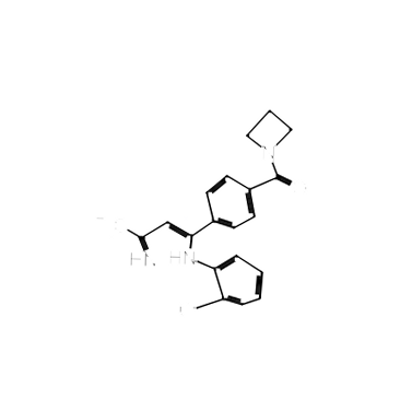 N=C(/C=C(\Nc1ccccc1Cl)c1ccc(C(=O)N2CCC2)cc1)C(F)(F)F